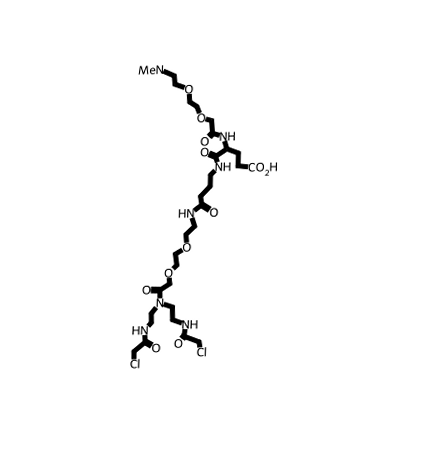 CNCCOCCOCC(=O)NC(CCC(=O)O)C(=O)NCCCC(=O)NCCOCCOCC(=O)N(CCNC(=O)CCl)CCNC(=O)CCl